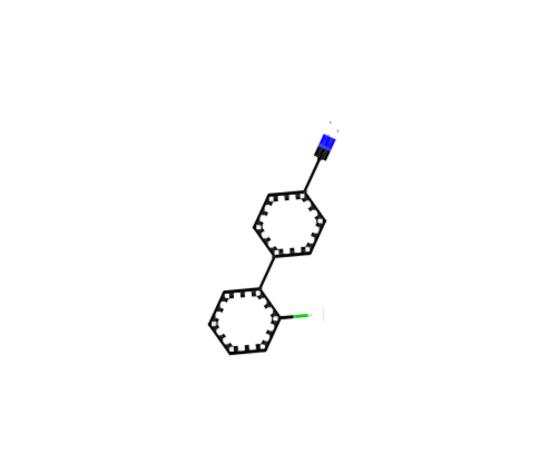 N#Cc1ccc(-c2ccc[c]c2Cl)cc1